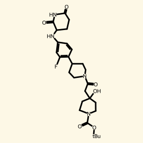 CC(C)(C)OC(=O)N1CCC(O)(CC(=O)N2CCC(c3ccc(NC4CCC(=O)NC4=O)cc3F)CC2)CC1